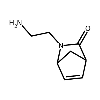 NCCN1C(=O)C2C=CC1C2